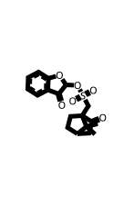 CC1(C)C2CCC1(CS(=O)(=O)OC1Oc3ccccc3C1=O)C(=O)C2